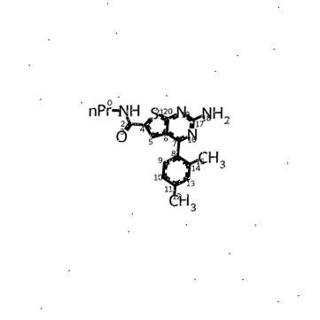 CCCNC(=O)c1cc2c(-c3ccc(C)cc3C)nc(N)nc2s1